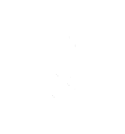 O=[N+]([O-])c1cnccc1NCc1ccc(C(F)(F)F)cc1